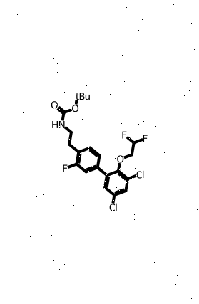 CC(C)(C)OC(=O)NCCc1ccc(-c2cc(Cl)cc(Cl)c2OCC(F)F)cc1F